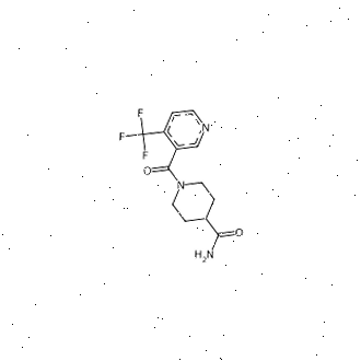 NC(=O)C1CCN(C(=O)c2cnccc2C(F)(F)F)CC1